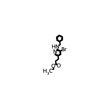 CCOC(=O)CCc1cnc(NCc2ccccc2)c(Br)c1